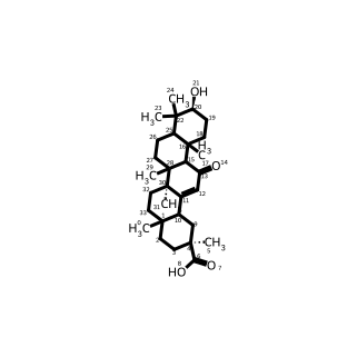 CC12CC[C@](C)(C(=O)O)CC1C1=CC(=O)C3C4(C)CC[C@H](O)C(C)(C)C4CCC3(C)[C@]1(C)CC2